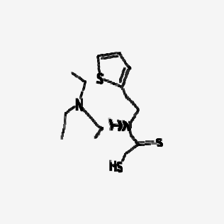 CCN(CC)CC.S=C(S)NCc1cccs1